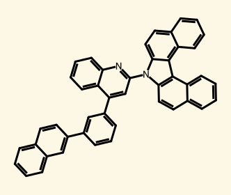 c1cc(-c2ccc3ccccc3c2)cc(-c2cc(-n3c4ccc5ccccc5c4c4c5ccccc5ccc43)nc3ccccc23)c1